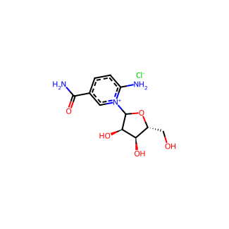 NC(=O)c1ccc(N)[n+](C2O[C@H](CO)[C@@H](O)[C@H]2O)c1.[Cl-]